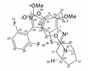 COC(=O)c1cc(OC)c2nc(N3C4CC[C@H]3CC(OCc3c(-c5c(F)cccc5F)noc3C3CC3)C4)sc2c1